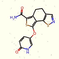 NC(=O)c1sc(Oc2ccc(=O)[nH]c2)c2c1CCc1cnsc1-2